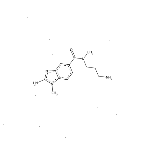 CN(CCCN)C(=O)c1ccc2c(c1)nc(N)n2C